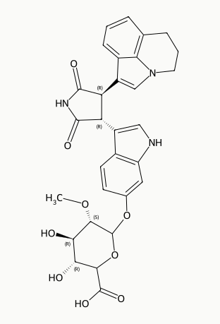 CO[C@@H]1C(Oc2ccc3c([C@@H]4C(=O)NC(=O)[C@H]4c4cn5c6c(cccc46)CCC5)c[nH]c3c2)OC(C(=O)O)[C@H](O)[C@H]1O